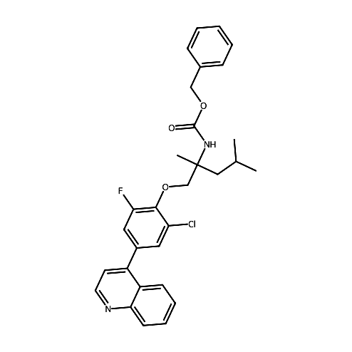 CC(C)CC(C)(COc1c(F)cc(-c2ccnc3ccccc23)cc1Cl)NC(=O)OCc1ccccc1